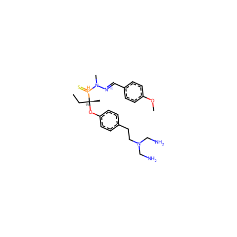 CC[C@@](C)(Oc1ccc(CCN(CN)CN)cc1)[PH](=S)N(C)/N=C/c1ccc(OC)cc1